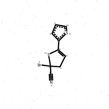 N#CC1(Br)CC=C(c2cccs2)S1